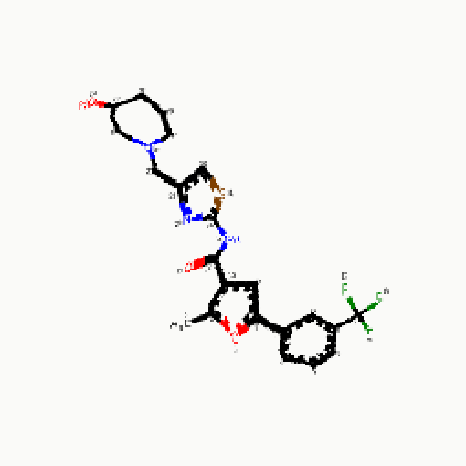 Cc1oc(-c2cccc(C(F)(F)F)c2)cc1C(=O)Nc1nc(CN2CCCC(O)C2)cs1